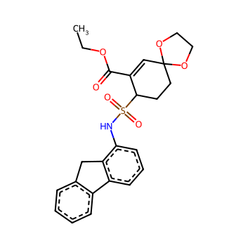 CCOC(=O)C1=CC2(CCC1S(=O)(=O)Nc1cccc3c1Cc1ccccc1-3)OCCO2